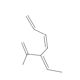 C=C/C=C\C(=C/C)C(=C)C